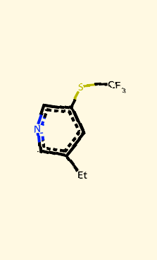 CCc1[c]ncc(SC(F)(F)F)c1